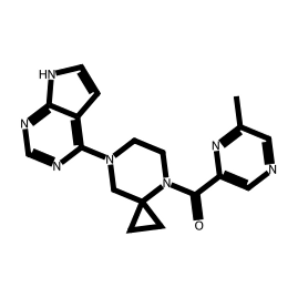 Cc1cncc(C(=O)N2CCN(c3ncnc4[nH]ccc34)CC23CC3)n1